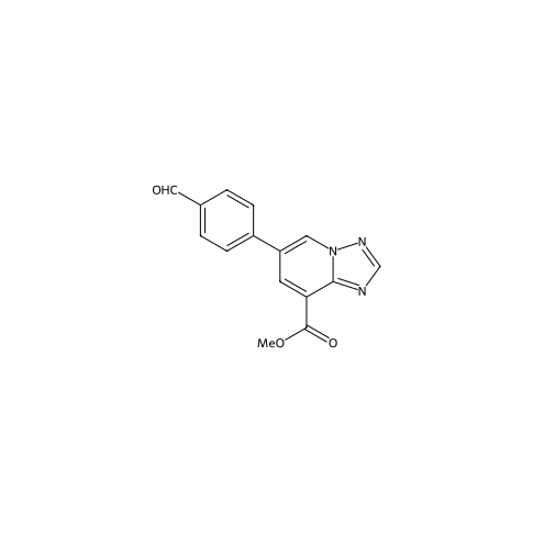 COC(=O)c1cc(-c2ccc(C=O)cc2)cn2ncnc12